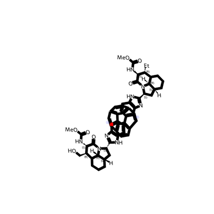 CC[C@@H]1C2CCC[C@H]3C[C@@H](c4nc5cc(-c6cc7ccc6/C=C\c6ccc(c(-c8ccc9[nH]c([C@@H]%10C[C@@H]%11CCCC%12[C@@H](CO)[C@H](NC(=O)OC)C(=O)N%10[C@@H]%12%11)nc9c8)c6)/C=C\7)ccc5[nH]4)N(C(=O)[C@H]1NC(=O)OC)[C@@H]23